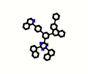 c1ccc(-c2ccc3c(-c4cc(-c5ccc(-c6nccc7ccccc67)cc5)cc(-c5nc(-c6cccc7ccccc67)nc(-c6cccc7ccccc67)n5)c4)cc4ccccc4c3c2)cc1